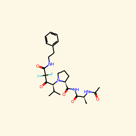 CC(=O)N[C@@H](C)C(=O)NC(=O)[C@@H]1CCCN1[C@H](C(=O)C(F)(F)C(=O)NCCc1ccccc1)C(C)C